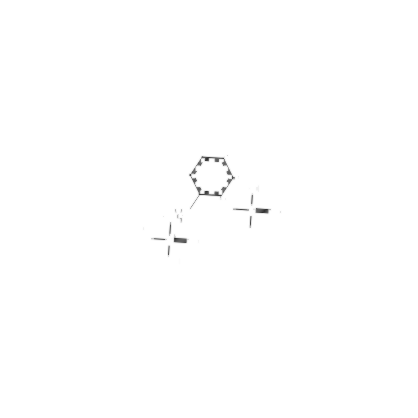 OP(O)(O)=S.OP(O)(O)=S.[Mo][c]1ccccc1